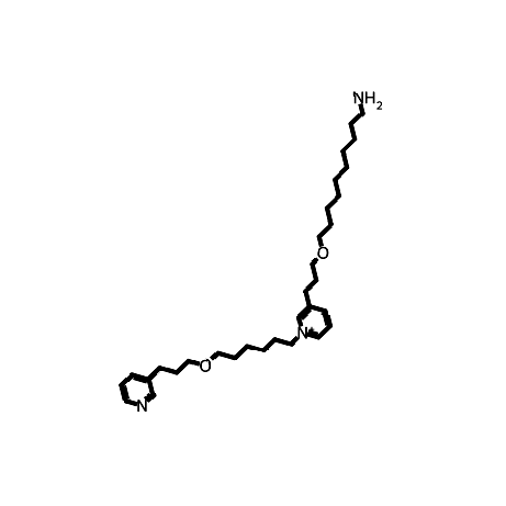 NCCCCCCCCCCOCCCc1ccc[n+](CCCCCCOCCCc2cccnc2)c1